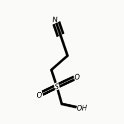 N#CCCS(=O)(=O)CO